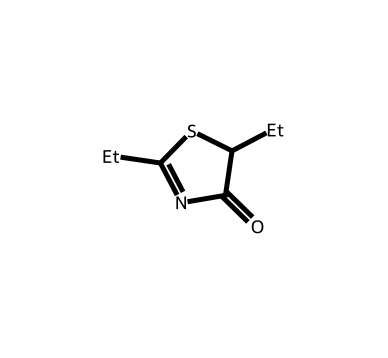 CCC1=NC(=O)C(CC)S1